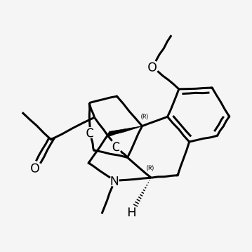 COc1cccc2c1[C@]13CCN(C)[C@H](C2)C12CCC(C3)C(C(C)=O)C2